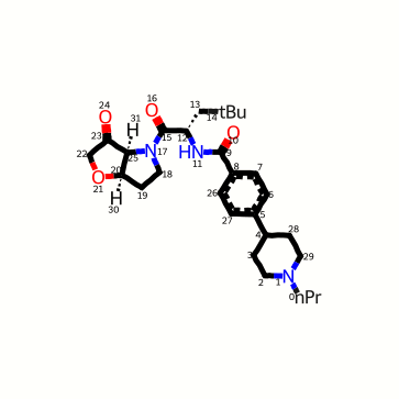 CCCN1CCC(c2ccc(C(=O)N[C@@H](CC(C)(C)C)C(=O)N3CC[C@H]4OCC(=O)[C@H]43)cc2)CC1